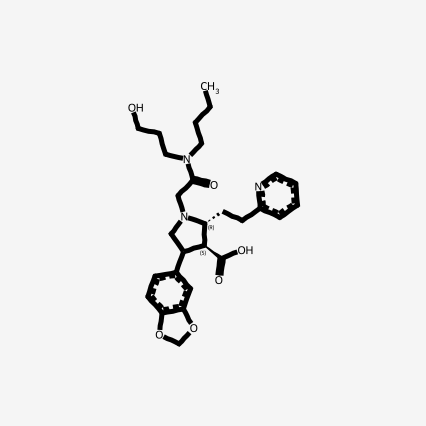 CCCCN(CCCO)C(=O)CN1CC(c2ccc3c(c2)OCO3)[C@H](C(=O)O)[C@H]1CCc1ccccn1